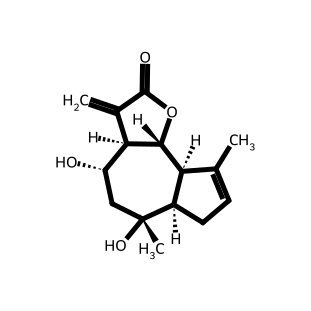 C=C1C(=O)O[C@@H]2[C@H]3C(C)=CC[C@H]3[C@](C)(O)C[C@H](O)[C@@H]12